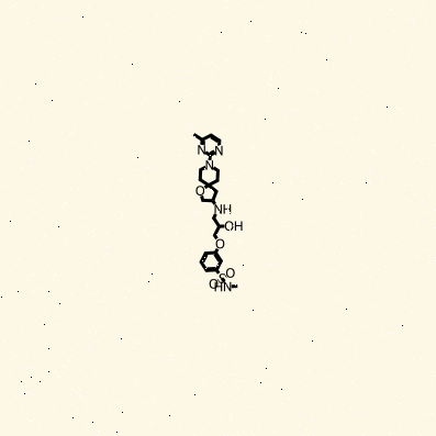 CNS(=O)(=O)c1cccc(OCC(O)CNC2COC3(CCN(c4nccc(C)n4)CC3)C2)c1